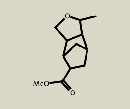 COC(=O)C1CC2CC1C1COC(C)C21